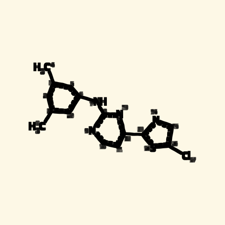 Cc1cc(C)cc(Nc2nccc(-c3ncc(Cl)s3)n2)c1